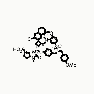 COc1ccc(CN(Cc2ccc(OC)cc2)S(=O)(=O)c2ccc3c(c2)N(C[C@@H]2CC[C@H]2COC(=O)N(C)[C@@H]2CCN(C(=O)O)C2)C[C@@]2(CCCc4cc(Cl)ccc42)CO3)cc1